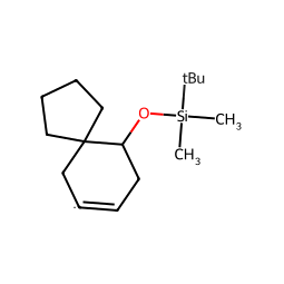 CC(C)(C)[Si](C)(C)OC1CC=[C]CC12CCCC2